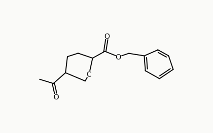 CC(=O)C1CCC(C(=O)OCc2ccccc2)CC1